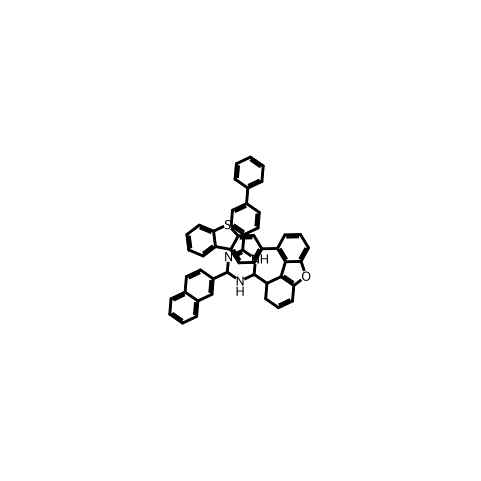 C1=Cc2oc3cccc(-c4ccc5c(c4)sc4ccccc45)c3c2C(C2NC(c3ccc(-c4ccccc4)cc3)=NC(c3ccc4ccccc4c3)N2)C1